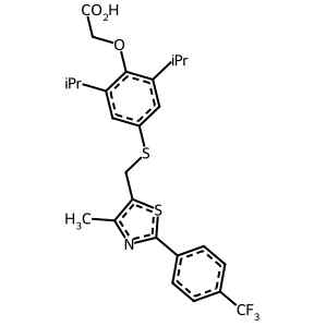 Cc1nc(-c2ccc(C(F)(F)F)cc2)sc1CSc1cc(C(C)C)c(OCC(=O)O)c(C(C)C)c1